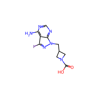 Nc1ncnc2c1c(I)nn2CC1CN(C(=O)O)C1